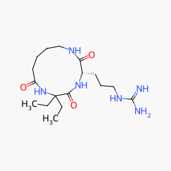 CCC1(CC)NC(=O)CCCCNC(=O)[C@H](CCCNC(=N)N)NC1=O